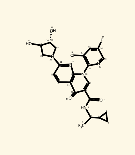 O=C(NC(C1CC1)C(F)(F)F)c1cn(-c2ncc(F)cc2Cl)c2nc(N3CC(O)[C@H](O)C3)ccc2c1=O